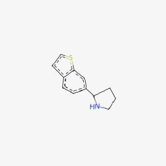 c1cc2ccc(C3CCCN3)cc2s1